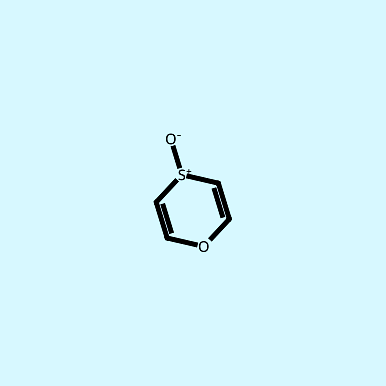 [O-][S+]1C=COC=C1